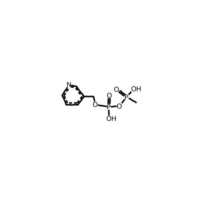 CP(=O)(O)OP(=O)(O)OCc1cccnc1